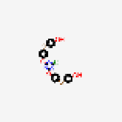 Oc1ccc(Sc2ccc(Oc3nc(Cl)nc(Oc4ccc(Sc5ccc(O)cc5)cc4)n3)cc2)cc1